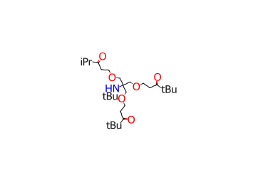 CC(C)C(=O)CCOCC(COCCC(=O)C(C)(C)C)(COCCC(=O)C(C)(C)C)NC(C)(C)C